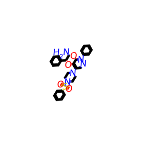 NCC(Oc1c(N2CCN(S(=O)(=O)c3ccccc3)CC2)cnn(-c2ccccc2)c1=O)c1ccccc1